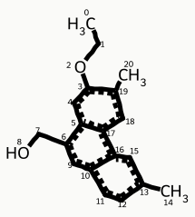 CCOc1cc2c(CO)cc3ccc(C)cc3c2cc1C